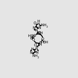 Nc1nc2c(ncn2C2OC3COP(O)O[C@@H]4C[C@H](n5cnc6c(N)ncnc65)OC4COP(=O)(O)OC2C3O)c(=O)[nH]1